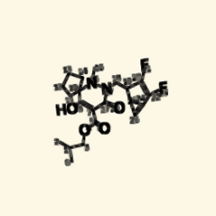 CC(C)COC(=O)C1=C(O)C2(CCCC2)N(C)N(CC2C(F)=C(F)C3=CC32)C1=O